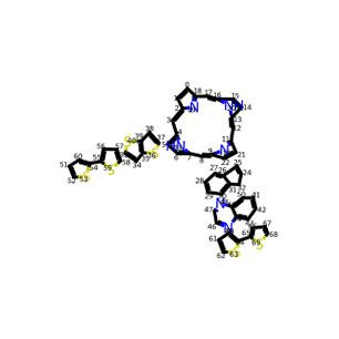 C1=Cc2cc3ccc(cc4nc(cc5ccc(cc1n2)[nH]5)C=C4)[nH]3.C1=Cc2ccccc2C1.c1cc2sccc2s1.c1ccc2nccnc2c1.c1csc(-c2cccs2)c1.c1csc(-c2cccs2)c1